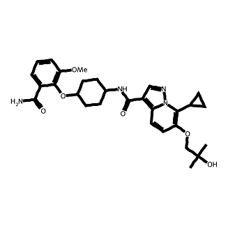 COc1cccc(C(N)=O)c1OC1CCC(NC(=O)c2cnn3c(C4CC4)c(OCC(C)(C)O)ccc23)CC1